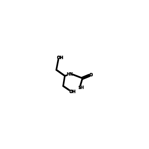 O=C(S)NC(CO)CO